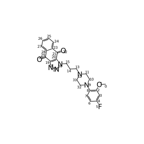 COc1cc(F)ccc1N1CCN(CCCn2nnc3c2C(=O)c2ccccc2C3=O)CC1